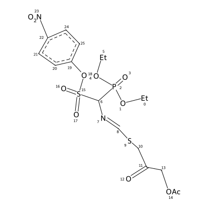 CCOP(=O)(OCC)C(N=CSCC(=O)COC(C)=O)S(=O)(=O)Oc1ccc([N+](=O)[O-])cc1